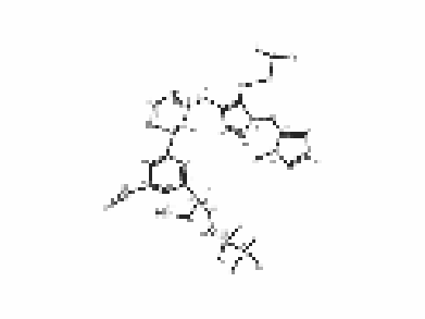 CC(C)CCc1c(Nc2nccc(-c3cc(C#N)c4c(c3)[C@@](C)(CO[Si](C)(C)C(C)(C)C)CN4)n2)cnn1Cc1cncn1C